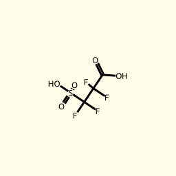 O=C(O)C(F)(F)C(F)(F)S(=O)(=O)O